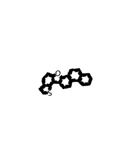 c1ccc2c(c1)ccc1c2ccc2c1oc1ccc3ccsc3c12